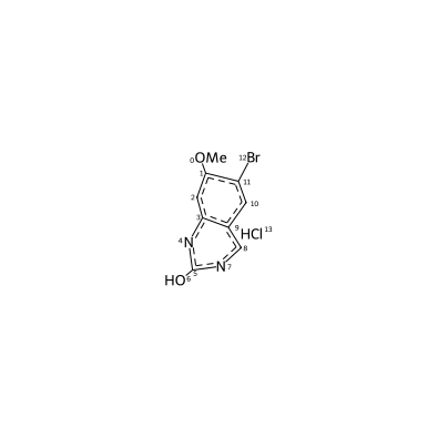 COc1cc2nc(O)ncc2cc1Br.Cl